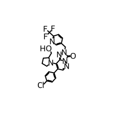 O=c1n(Cc2ccc(C(F)(F)F)nc2)nc2c(N3CCCC3CO)c(-c3ccc(Cl)cc3)cnn12